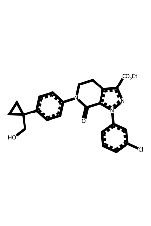 CCOC(=O)c1nn(-c2cccc(Cl)c2)c2c1CCN(c1ccc(C3(CO)CC3)cc1)C2=O